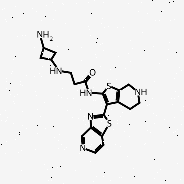 NC1CC(NCCC(=O)Nc2sc3c(c2-c2nc4cnccc4s2)CCNC3)C1